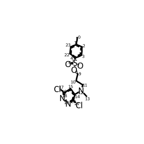 Cc1ccc(S(=O)(=O)OCCCN(C)c2cc(Cl)nnc2Cl)cc1